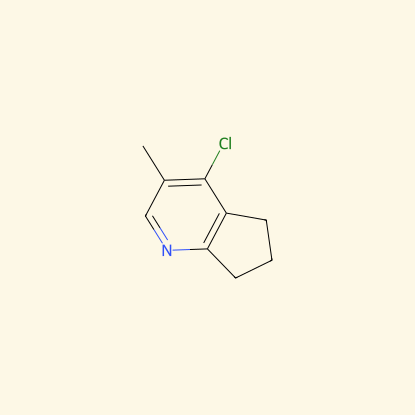 Cc1cnc2c(c1Cl)CCC2